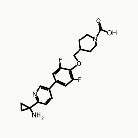 NC1(c2ccc(-c3cc(F)c(OCC4CCN(C(=O)O)CC4)c(F)c3)cn2)CC1